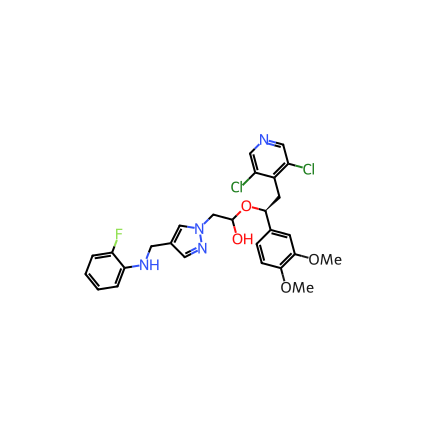 COc1ccc([C@H](Cc2c(Cl)cncc2Cl)OC(O)Cn2cc(CNc3ccccc3F)cn2)cc1OC